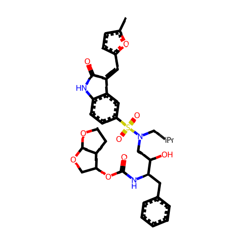 Cc1ccc(C=C2C(=O)Nc3ccc(S(=O)(=O)N(CC(C)C)CC(O)C(Cc4ccccc4)NC(=O)OC4COC5OCCC45)cc32)o1